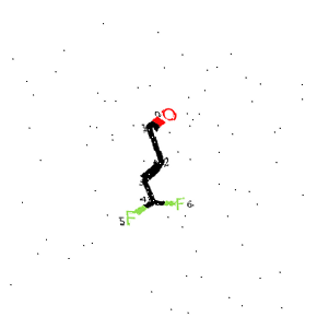 O=CC=CC(F)F